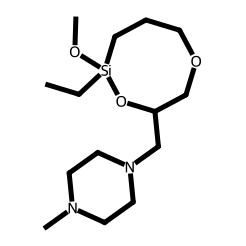 CC[Si]1(OC)CCCOCC(CN2CCN(C)CC2)O1